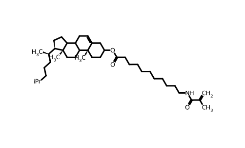 C=C(C)C(=O)NCCCCCCCCCCC(=O)OC1CC[C@@]2(C)C(=CCC3C2CC[C@@]2(C)C3CC[C@@H]2[C@H](C)CCCC(C)C)C1